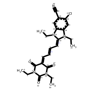 CCN1C(=O)C(=C/C=C/C=C2/N(CC)c3cc(Cl)c(C#N)cc3N2CC)C(=O)N(CC)C1=O